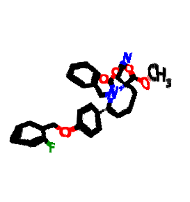 COC(=O)[C@]1(CC#N)CCC[C@H](c2ccc(OCc3ccccc3F)cc2)[N+]1(Cc1ccccc1)C(=O)[O-]